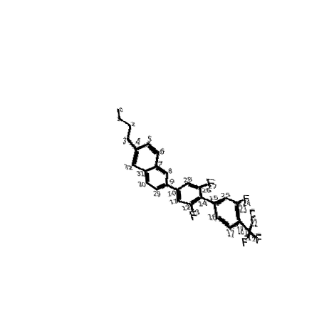 CCCCc1ccc2cc(-c3cc(F)c(-c4ccc(C(F)(F)F)c(F)c4)c(F)c3)ccc2c1